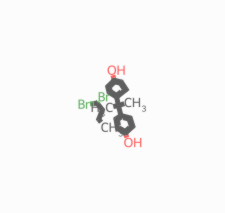 CC(C)(c1ccc(O)cc1)c1ccc(O)cc1.CCCC(Br)Br